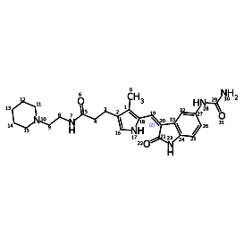 Cc1c(CCC(=O)NCCN2CCCCC2)c[nH]c1/C=C1\C(=O)Nc2ccc(NC(N)=O)cc21